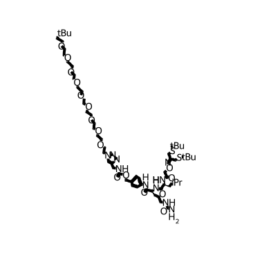 CC(C)C[C@H](NC(=O)CON=C(CSC(C)(C)C)CSC(C)(C)C)C(=O)N[C@@H](CCCNC(N)=O)C(=O)Nc1ccc(COC(=O)NCc2cn(CCOCCOCCOCCOCCOCCOCCOCCOCCOCCC(C)(C)C)nn2)cc1